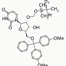 COc1ccc(C(OC[C@H]2O[C@@H](n3ccc(=O)[nH]c3=O)[C@H](OCO[Si](C)(C)C(C)(C)C(C)C)[C@@H]2O)(c2ccccc2)c2ccc(OC)cc2)cc1